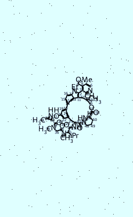 CCn1c(-c2cnccc2COC)c2c3cc(ccc31)-c1cc(O)cc(c1)C[C@H](NC(=O)C(C(C)C)N(C)C(=O)CN(C)C(=O)[C@H]1N[C@@H]1C)C(=O)N1CCC[C@H](N1)C(=O)OCC(C)(C)C2